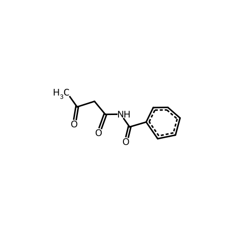 CC(=O)CC(=O)NC(=O)c1ccccc1